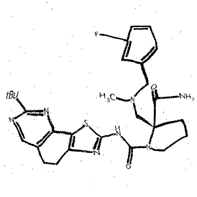 CN(Cc1cccc(F)c1)C[C@@]1(C(N)=O)CCCN1C(=O)Nc1nc2c(s1)-c1nc(C(C)(C)C)ncc1CC2